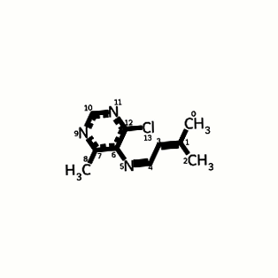 CC(C)=C/C=N\c1c(C)ncnc1Cl